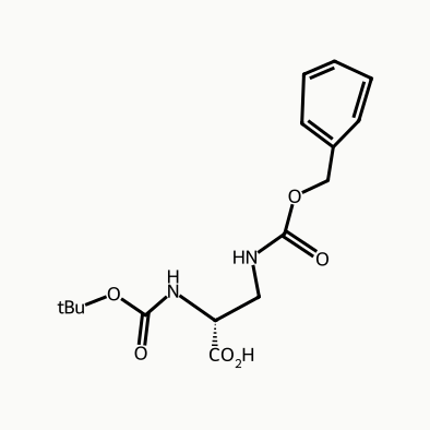 CC(C)(C)OC(=O)N[C@H](CNC(=O)OCc1ccccc1)C(=O)O